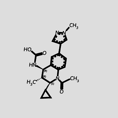 CC(=O)N1c2ccc(-c3cnn(C)c3)cc2[C@H](NC(=O)O)[C@@H](C)[C@@H]1C1CC1